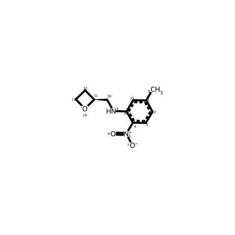 Cc1ccc([N+](=O)[O-])c(NC[C@@H]2CCO2)c1